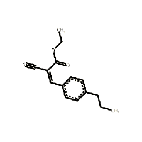 CCCc1ccc(/C=C(/C#N)C(=O)OCC)cc1